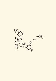 CCCCCOc1cc(F)cc(C[C@H](N)C[C@H]2CN(S(=O)(=O)c3cccc(C)c3)CCN2)c1